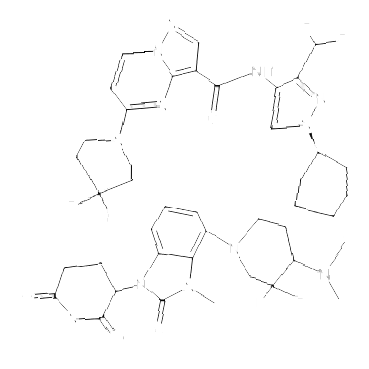 CN(C[C@H]1CC[C@H](n2cc(NC(=O)c3cnn4ccc(N5CCC(F)(F)CC5)nc34)c(C(F)F)n2)CC1)C1CCN(c2cccc3c2n(C)c(=O)n3C2CCC(=O)NC2=O)CC1(F)F